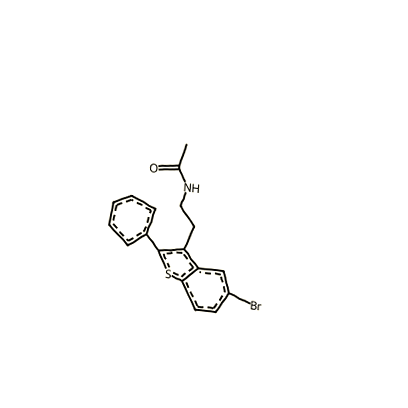 CC(=O)NCCc1c(-c2ccccc2)sc2ccc(Br)cc12